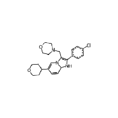 Clc1ccc(C2=C(CN3CCOCC3)N3C=C(C4CCOCC4)C=CC3N2)cc1